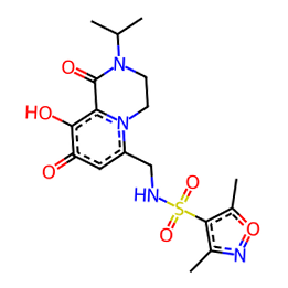 Cc1noc(C)c1S(=O)(=O)NCc1cc(=O)c(O)c2n1CCN(C(C)C)C2=O